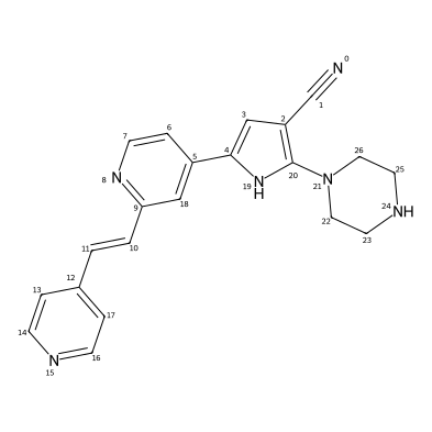 N#Cc1cc(-c2ccnc(C=Cc3ccncc3)c2)[nH]c1N1CCNCC1